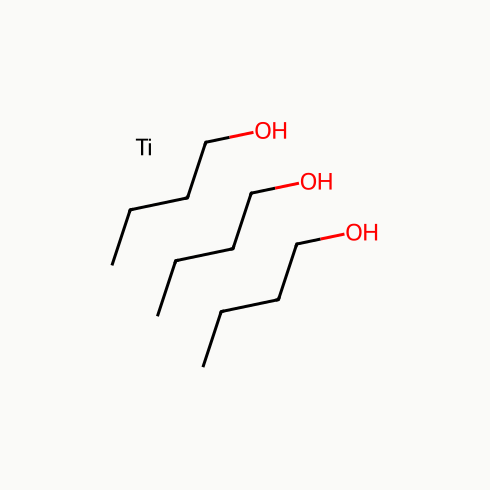 CCCCO.CCCCO.CCCCO.[Ti]